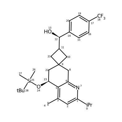 CC(C)c1cc(I)c2c(n1)CC1(CC([C@@H](O)c3ccc(C(F)(F)F)cc3)C1)C[C@@H]2O[Si](C)(C)C(C)(C)C